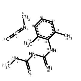 CN=C=O.CNC(=O)NC(=N)Nc1c(C)cccc1C